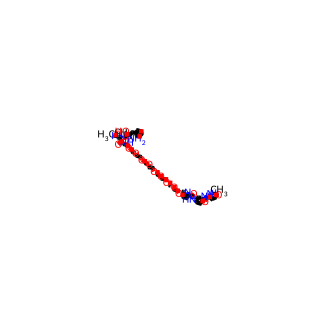 CC(C)C[C@H](NC(=O)[C@@H](O)[C@H](N)Cc1ccccc1)C(=O)NCCOCCOCCOCCOCCOCCOCCOCCOCCOc1ccc(C(=O)Nc2ccc3oc(-c4ccc(=O)n(C)n4)nc3c2)nc1